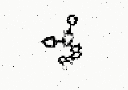 Clc1cccc2c1oc1ccc3ccc(-c4nc(-c5ccccc5)nc(-c5ccccc5)n4)cc3c12